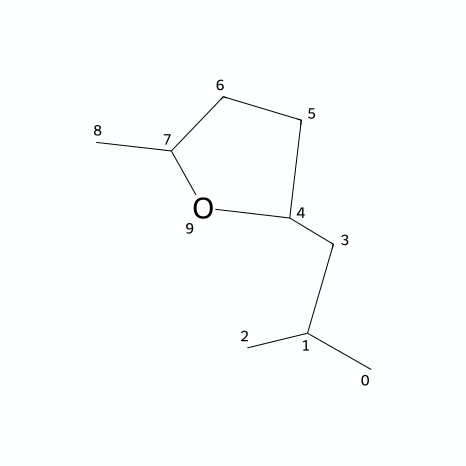 CC(C)CC1CCC(C)O1